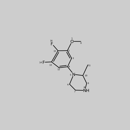 COc1cc(N2CCNCC2C)cc(F)c1F